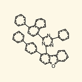 c1ccc(-c2ccc(-c3ccc4oc5ccccc5c4c3-c3nc(-c4ccccc4)nc(-c4ccc(-c5ccccc5)c5ccccc45)n3)cc2)cc1